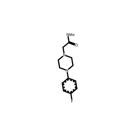 CNC(=O)CN1CCN(c2ccc(F)cc2)CC1